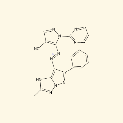 Cc1nn2nc(-c3ccccc3)c(/N=N/c3c(C#N)cnn3-c3ncccn3)c2[nH]1